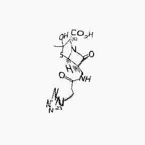 CC1(O)S[C@@H]2[C@H](NC(=O)Cn3cnnn3)C(=O)N2[C@H]1C(=O)O